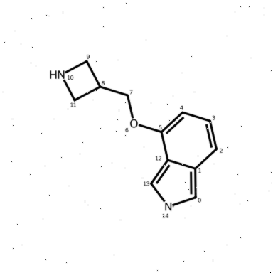 C1=c2cccc(OCC3CNC3)c2=C[N]1